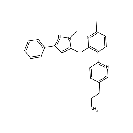 Cc1ccc(-c2ccc(CCN)cn2)c(Oc2cc(-c3ccccc3)nn2C)n1